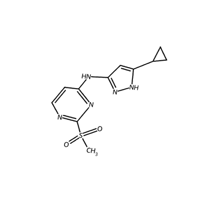 CS(=O)(=O)c1nccc(Nc2cc(C3CC3)[nH]n2)n1